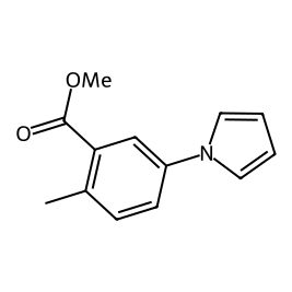 COC(=O)c1cc(-n2cccc2)ccc1C